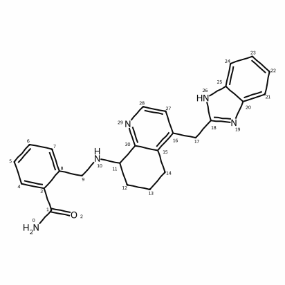 NC(=O)c1ccccc1CNC1CCCc2c(Cc3nc4ccccc4[nH]3)ccnc21